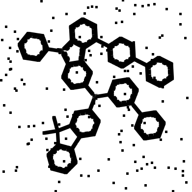 CC1(C)c2ccccc2-c2ccc(N(c3cccc(-c4ccccc4)c3)c3ccc4c(c3)c3c(-c5ccc(-c6ccccc6)cc5)cccc3n4-c3ccccc3)cc21